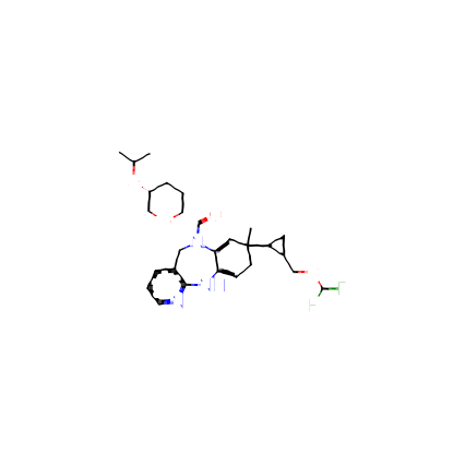 CC(C)O[C@H]1CC[C@H](C(=O)N2Cc3cccnc3NC3=CCC(C)(C4CC4COC(F)F)C=C32)OC1